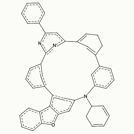 C1=CCC(N2c3cccc(c3)C3=CC(=CCC3)c3cc(-c4ccccc4)nc(n3)-c3cccc(c3)-c3cc2cc2oc4ccccc4c32)C=C1